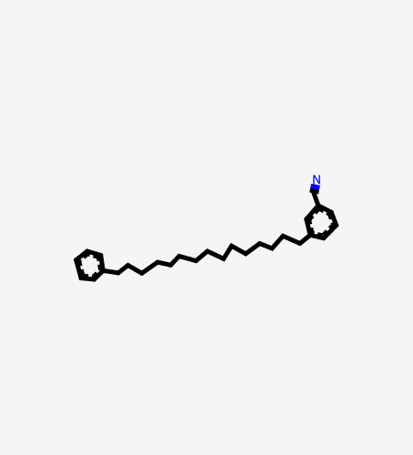 N#Cc1cccc(CCCCCCCCCCCCCCCc2ccccc2)c1